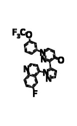 O=c1ccn(-c2cccc(OC(F)(F)F)c2)nc1-c1ccnn1-c1ccnc2ccc(F)cc12